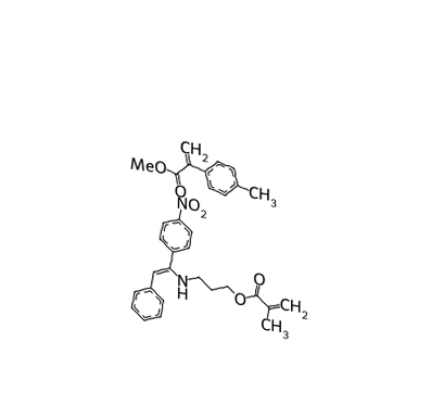 C=C(C(=O)OC)c1ccc(C)cc1.C=C(C)C(=O)OCCCNC(=Cc1ccccc1)c1ccc([N+](=O)[O-])cc1